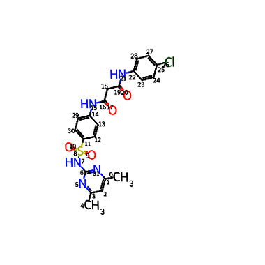 Cc1cc(C)nc(NS(=O)(=O)c2ccc(NC(=O)CC(=O)Nc3ccc(Cl)cc3)cc2)n1